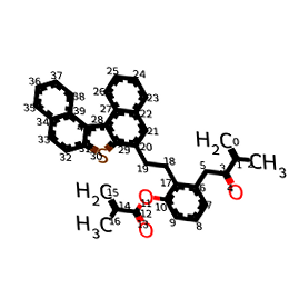 C=C(C)C(=O)Cc1cccc(OC(=O)C(=C)C)c1CCc1cc2ccccc2c2c1sc1ccc3ccccc3c12